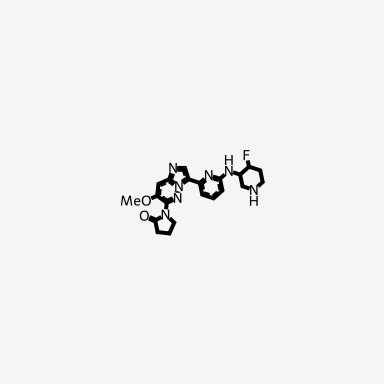 COc1cc2ncc(-c3cccc(NC4CNCCC4F)n3)n2nc1N1CCCC1=O